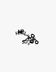 NNC(=O)CCCCCSC(SCCCS(=O)(=O)O)=C1c2ccccc2N(Cc2ccccc2)c2ccccc21